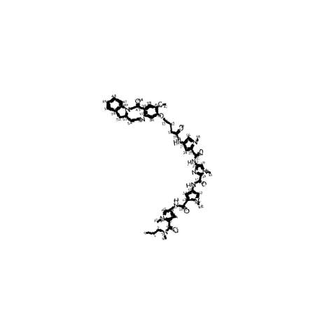 CCCN(C)C(=O)c1cc(NC(=O)c2cc(NC(=O)c3nc(NC(=O)c4cc(NC(=O)CCCOc5cc6c(cc5OC)C(=O)N5c7ccccc7CC5C=N6)cn4C)cn3C)cn2C)cn1C